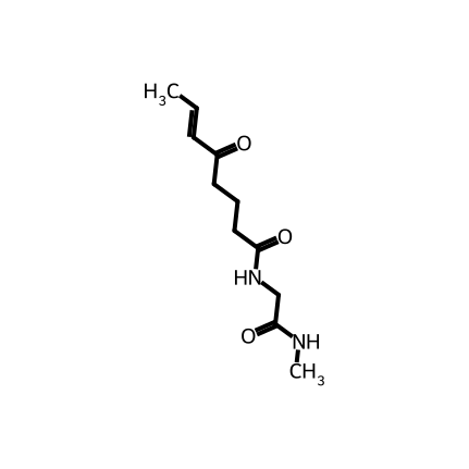 C/C=C/C(=O)CCCC(=O)NCC(=O)NC